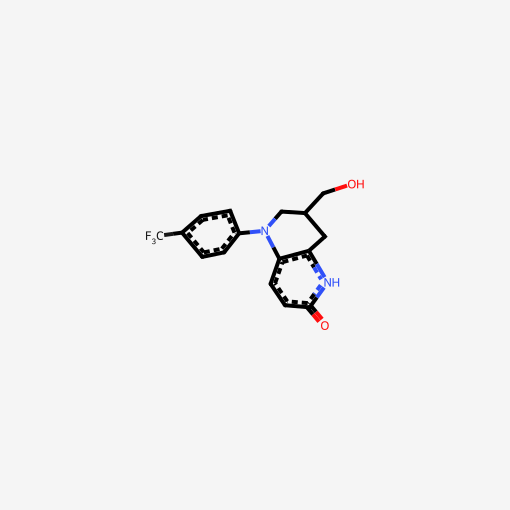 O=c1ccc2c([nH]1)CC(CO)CN2c1ccc(C(F)(F)F)cc1